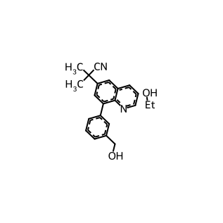 CC(C)(C#N)c1cc(-c2cccc(CO)c2)c2ncccc2c1.CCO